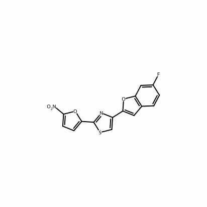 O=[N+]([O-])c1ccc(-c2nc(-c3cc4ccc(F)cc4o3)cs2)o1